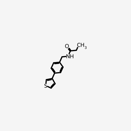 CCC(=O)NCc1ccc(-c2ccsc2)cc1